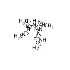 C=CC(=O)N[C@@H]1CN(c2nc(Nc3cn(C4CCN(C)C4)nc3OC)c3ncn(C)c3n2)C[C@H]1F